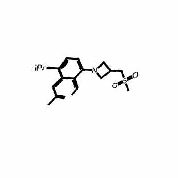 C=C(C)/C=c1/c(C(C)C)ccc(N2CC(CS(C)(=O)=O)C2)/c1=C/C